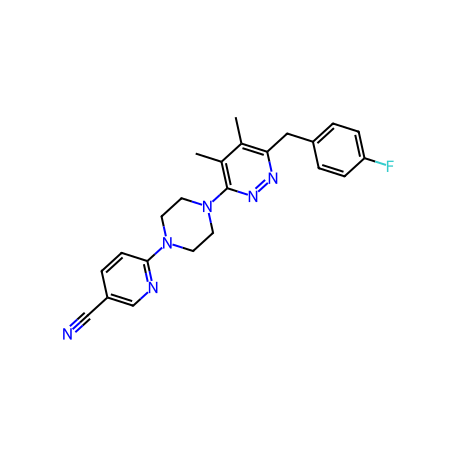 Cc1c(Cc2ccc(F)cc2)nnc(N2CCN(c3ccc(C#N)cn3)CC2)c1C